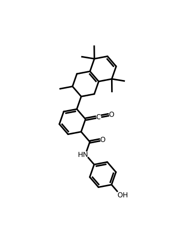 CC1CC2=C(CC1C1=CC=CC(C(=O)Nc3ccc(O)cc3)C1=C=O)C(C)(C)C=CC2(C)C